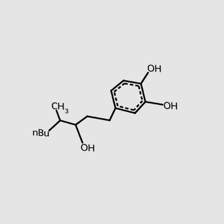 CCCCC(C)C(O)CCc1ccc(O)c(O)c1